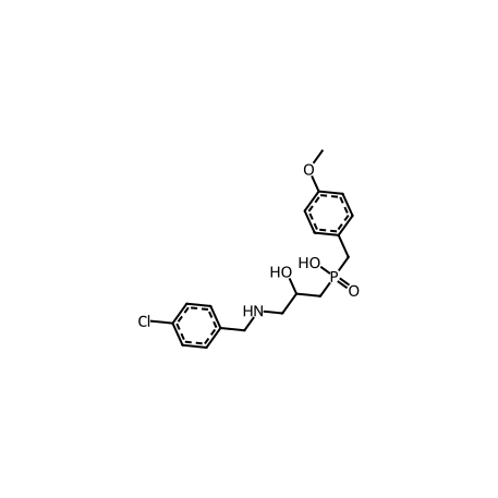 COc1ccc(CP(=O)(O)CC(O)CNCc2ccc(Cl)cc2)cc1